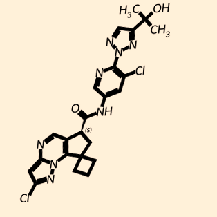 CC(C)(O)c1cnn(-c2ncc(NC(=O)[C@H]3CC4(CCC4)c4c3cnc3cc(Cl)nn43)cc2Cl)n1